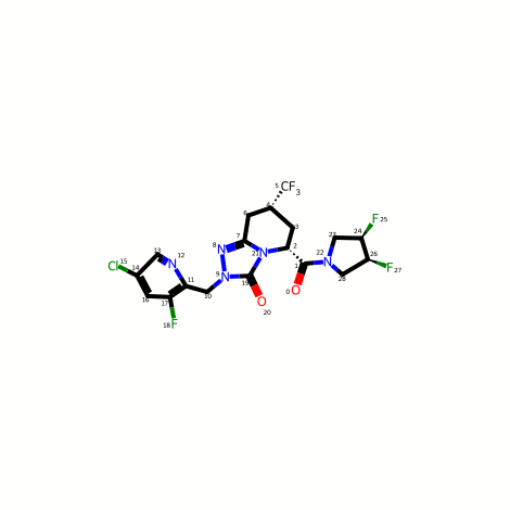 O=C([C@H]1C[C@@H](C(F)(F)F)Cc2nn(Cc3ncc(Cl)cc3F)c(=O)n21)N1C[C@@H](F)[C@@H](F)C1